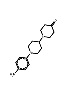 Nc1ccc(N2CCC(N3CCC(=O)CC3)CC2)cc1